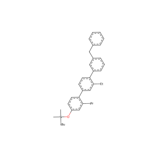 CCc1cc(-c2ccc(O[Si](C)(C)C(C)(C)C)cc2C(C)C)ccc1-c1cccc(Cc2ccccc2)c1